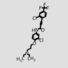 CCN(CC)CCCOc1ccc(NC(=O)C#Cc2ccc(C(F)(F)F)cc2Cl)cc1Cl